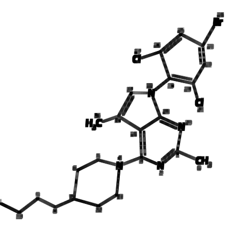 Cc1nc(N2CCC(CCCO)CC2)c2c(C)cn(-c3c(Cl)cc(Br)cc3Cl)c2n1